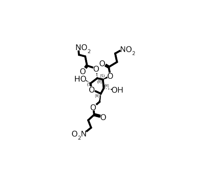 O=C(CC[N+](=O)[O-])OC[C@H]1O[C@H](O)[C@H](OC(=O)CC[N+](=O)[O-])[C@@H](OC(=O)CC[N+](=O)[O-])[C@@H]1O